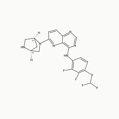 Fc1c(Nc2ncnc3ccc(N4C[C@@H]5C[C@H]4CN5)nc23)ccc(OC(F)F)c1F